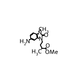 COC(=O)C(C)CCn1c(=O)n(C)c2ccc(N)cc21